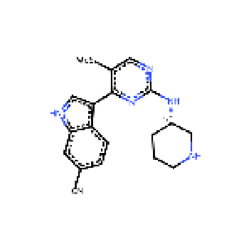 CSc1cnc(N[C@H]2CCCNC2)nc1-c1c[nH]c2cc(C#N)ccc12